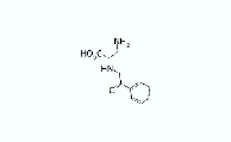 NCC(NCC(=O)c1ccccc1)C(=O)O